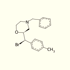 Cc1ccc([C@@H](Br)[C@@H]2CN(Cc3ccccc3)CCO2)cc1